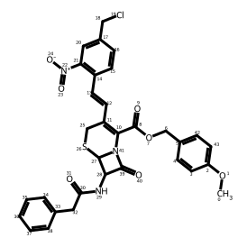 COc1ccc(COC(=O)C2=C(/C=C/c3ccc(CCl)cc3[N+](=O)[O-])CSC3C(NC(=O)Cc4ccccc4)C(=O)N23)cc1